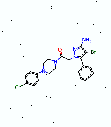 Nc1nn(CC(=O)N2CCN(c3ccc(Cl)cc3)CC2)c(-c2ccccc2)c1Br